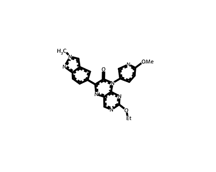 CCOc1ncc2nc(-c3ccc4nn(C)cc4c3)c(=O)n(-c3ccc(OC)nc3)c2n1